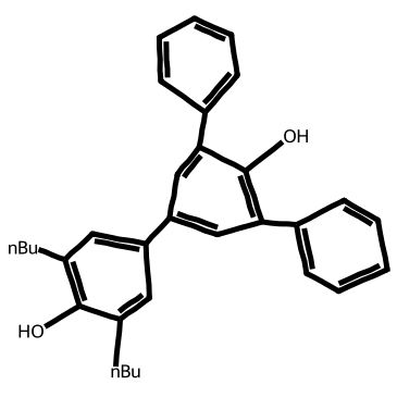 CCCCc1cc(-c2cc(-c3ccccc3)c(O)c(-c3ccccc3)c2)cc(CCCC)c1O